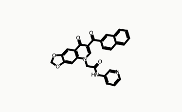 O=C(Cn1cc(C(=O)c2ccc3ccccc3c2)c(=O)c2cc3c(cc21)OCO3)Nc1cccnc1